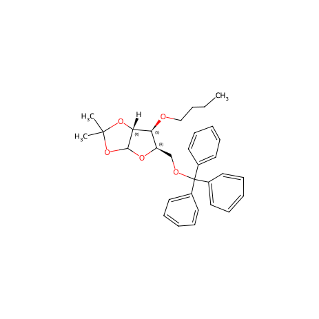 CCCCO[C@H]1[C@@H](COC(c2ccccc2)(c2ccccc2)c2ccccc2)OC2OC(C)(C)O[C@@H]21